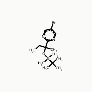 CCC(C)(O[Si](C)(C)C(C)(C)C)c1ncc(Br)cn1